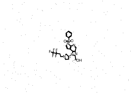 C[C@@H](O)c1nc2cnc3c(ccn3S(=O)(=O)c3ccccc3)c2n1[C@H]1CCN(CCC(F)(F)C(F)(F)F)C1